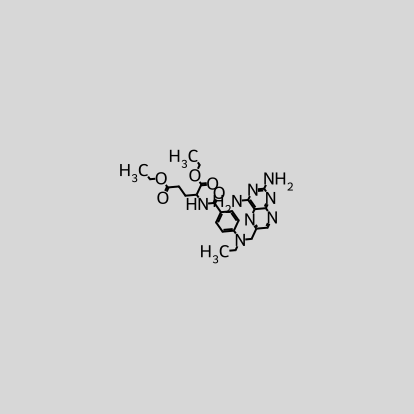 CCOC(=O)CCC(NC(=O)c1ccc(N(CC)Cc2cnc3nc(N)nc(N)c3n2)cc1)C(=O)OCC